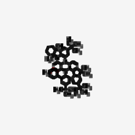 Cc1cc2c3c(c1)N1c4c(cc(C(C)(C)C)cc4C4(C)CCCCC14C)B3c1ccc3c(c1N2c1ccc(C(C)(C)C)cc1-c1ccccc1)-c1ccc(C(C)(C)C)cc1C3(C)C